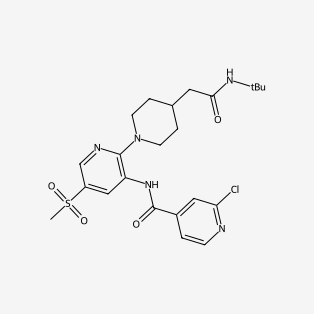 CC(C)(C)NC(=O)CC1CCN(c2ncc(S(C)(=O)=O)cc2NC(=O)c2ccnc(Cl)c2)CC1